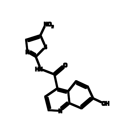 O=C(Nc1ncc([N+](=O)[O-])s1)c1ccnc2cc(O)ccc12